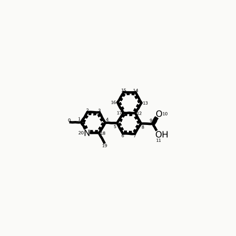 Cc1ccc(-c2ccc(C(=O)O)c3ccccc23)c(C)n1